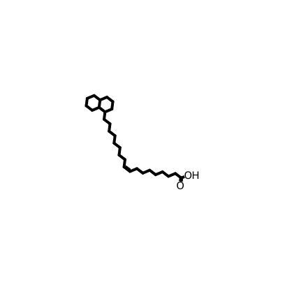 O=C(O)CCCCCCC/C=C\CCCCCCCCC1CCCC2CCCCC12